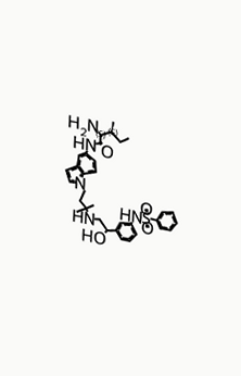 CC[C@H](C)[C@H](N)C(=O)Nc1ccc2c(ccn2CCC(C)(C)NCC(O)c2cccc(NS(=O)(=O)c3ccccc3)c2)c1